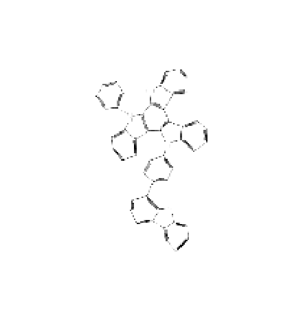 c1ccc(-n2c3ccccc3c3c2c2oc4ccccc4c2c2c4ccccc4n(-c4ccc(-c5cccc6c5sc5ccccc56)cc4)c23)cc1